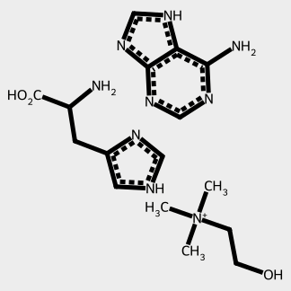 C[N+](C)(C)CCO.NC(Cc1c[nH]cn1)C(=O)O.Nc1ncnc2nc[nH]c12